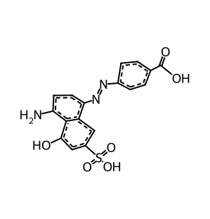 Nc1ccc(N=Nc2ccc(C(=O)O)cc2)c2cc(S(=O)(=O)O)cc(O)c12